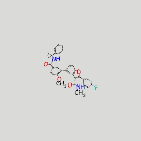 CNC(=O)c1c(-c2ccc(F)cc2)oc2ccc(-c3cc(C(=O)NC4(c5ccccc5)CC4)ccc3OC)cc12